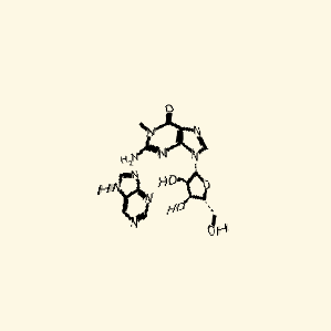 Cn1c(N)nc2c(ncn2[C@@H]2O[C@H](CO)[C@@H](O)[C@H]2O)c1=O.c1ncc2[nH]cnc2n1